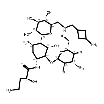 NCC[C@H](O)C(=O)N[C@@H]1C[C@H](N)C([C@H]2O[C@H](CNCC3CC(N)C3)[C@@H](O)[C@H](O)[C@H]2O)[C@H](O)[C@H]1O[C@H]1O[C@H](CO)[C@@H](O)[C@H](N)[C@H]1O